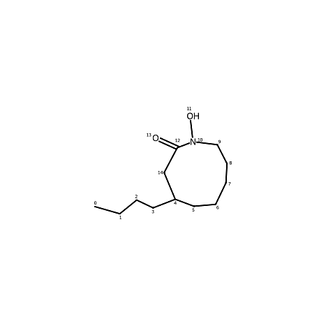 CCCCC1CCCCCN(O)C(=O)C1